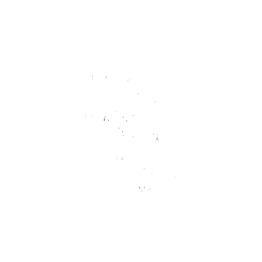 COC(=O)c1cc(Br)c2oc(-c3cccc(-c4ccc(F)cc4-c4nncn4C)c3)nc2c1